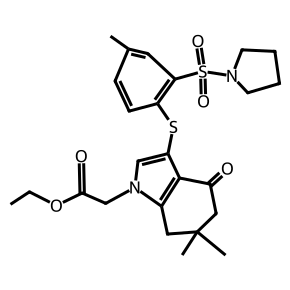 CCOC(=O)Cn1cc(Sc2ccc(C)cc2S(=O)(=O)N2CCCC2)c2c1CC(C)(C)CC2=O